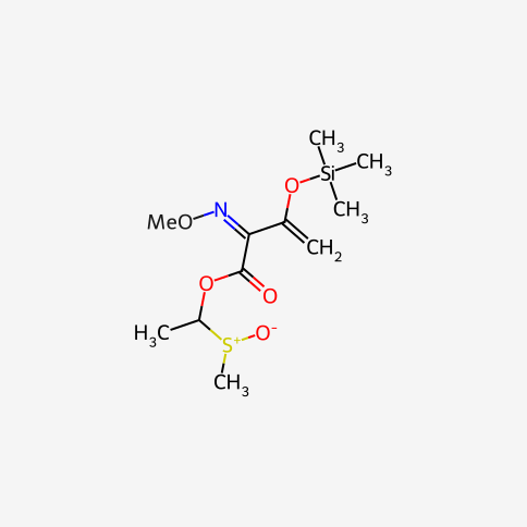 C=C(O[Si](C)(C)C)C(=NOC)C(=O)OC(C)[S+](C)[O-]